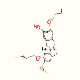 CCCCOc1cc2c(cc1O)C[C@@H]1c3cc(OCCCC)c(OC)cc3CCN1C2